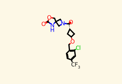 O=C1NC2(CO1)CN(C(=O)[C@H]1C[C@H](OCc3ccc(C(F)(F)F)cc3Cl)C1)C2